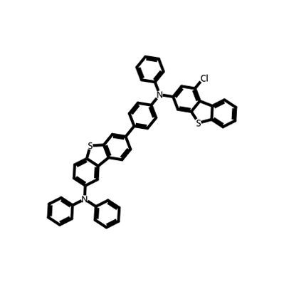 Clc1cc(N(c2ccccc2)c2ccc(-c3ccc4c(c3)sc3ccc(N(c5ccccc5)c5ccccc5)cc34)cc2)cc2sc3ccccc3c12